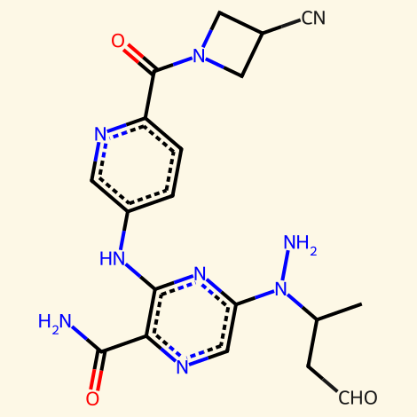 CC(CC=O)N(N)c1cnc(C(N)=O)c(Nc2ccc(C(=O)N3CC(C#N)C3)nc2)n1